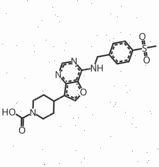 CS(=O)(=O)c1ccc(CNc2ncnc3c(C4CCN(C(=O)O)CC4)coc23)cc1